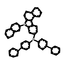 c1ccc(-c2ccc(N(c3ccc(-c4ccccc4)cc3)c3ccc4c5c6ccccc6ccc5n(-c5ccc6ccccc6c5)c4c3)cc2)cc1